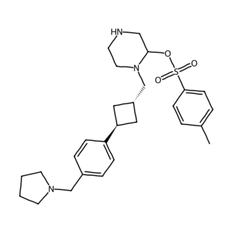 Cc1ccc(S(=O)(=O)OC2CNCCN2C[C@H]2C[C@H](c3ccc(CN4CCCC4)cc3)C2)cc1